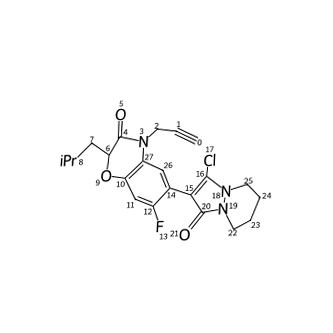 C#CCN1C(=O)C(CC(C)C)Oc2cc(F)c(-c3c(Cl)n4n(c3=O)CCCC4)cc21